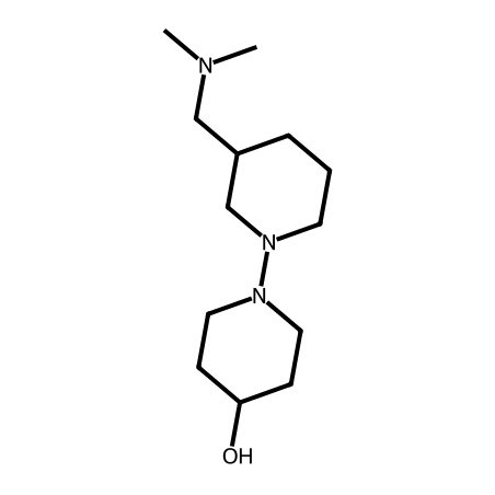 CN(C)CC1CCCN(N2CCC(O)CC2)C1